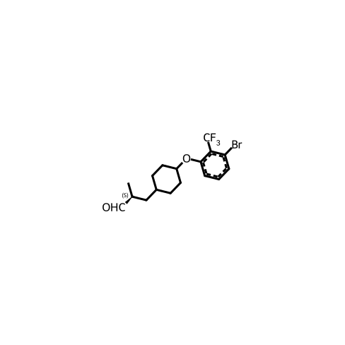 C[C@H](C=O)CC1CCC(Oc2cccc(Br)c2C(F)(F)F)CC1